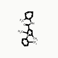 Cc1cc(C(=O)Nc2ccccc2C(F)(F)F)c(C)n1-c1ccccc1C(F)(F)F